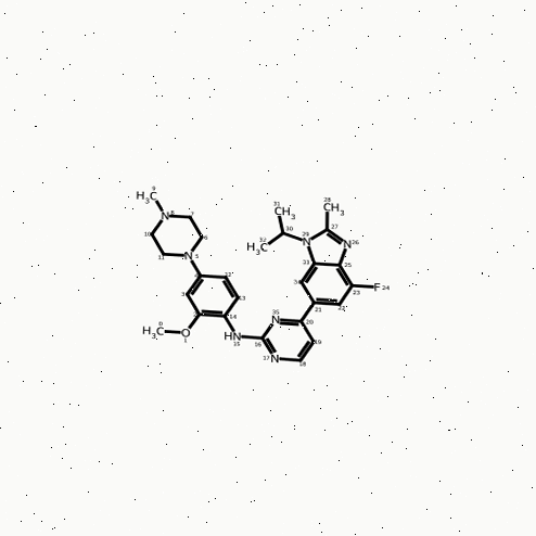 COc1cc(N2CCN(C)CC2)ccc1Nc1nccc(-c2cc(F)c3nc(C)n(C(C)C)c3c2)n1